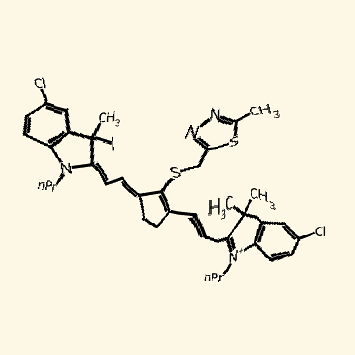 CCCN1/C(=C/C=C2\CCC(/C=C/C3=[N+](CCC)c4ccc(Cl)cc4C3(C)C)=C2SCc2nnc(C)s2)C(C)(I)c2cc(Cl)ccc21